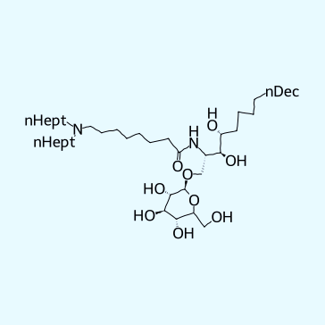 CCCCCCCCCCCCCC[C@@H](O)[C@@H](O)[C@H](CO[C@H]1OC(CO)[C@H](O)[C@@H](O)[C@@H]1O)NC(=O)CCCCCCCN(CCCCCCC)CCCCCCC